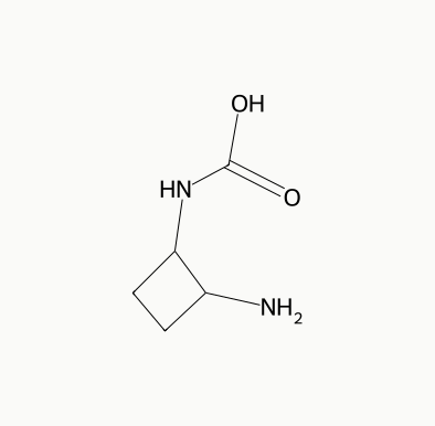 NC1CCC1NC(=O)O